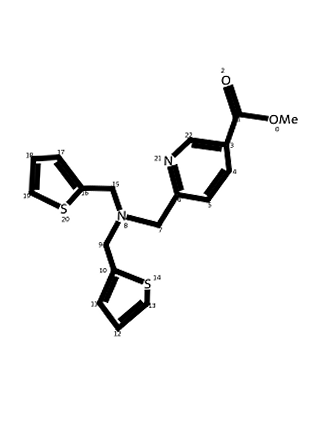 COC(=O)c1ccc(CN(Cc2cccs2)Cc2cccs2)nc1